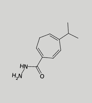 CC(C)C1=CCC=C(C(=O)NN)C=C1